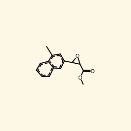 COC(=O)C1OC1c1cc(C)c2ccccc2c1